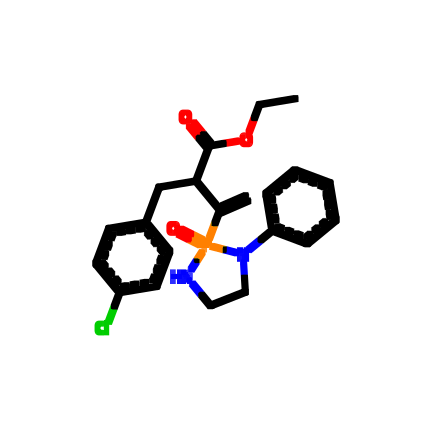 C=C(C(Cc1ccc(Cl)cc1)C(=O)OCC)P1(=O)NCCN1c1ccccc1